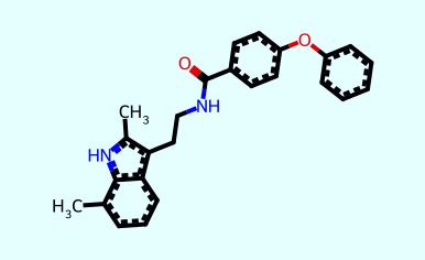 Cc1[nH]c2c(C)cccc2c1CCNC(=O)c1ccc(Oc2ccccc2)cc1